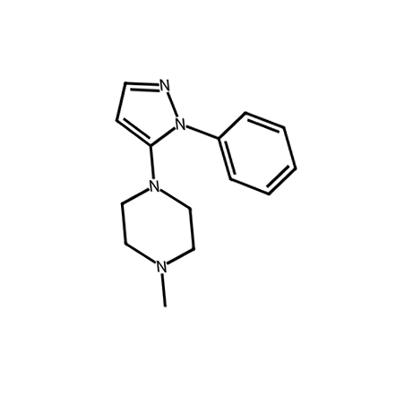 CN1CCN(c2ccnn2-c2ccccc2)CC1